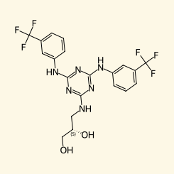 OC[C@@H](O)CNc1nc(Nc2cccc(C(F)(F)F)c2)nc(Nc2cccc(C(F)(F)F)c2)n1